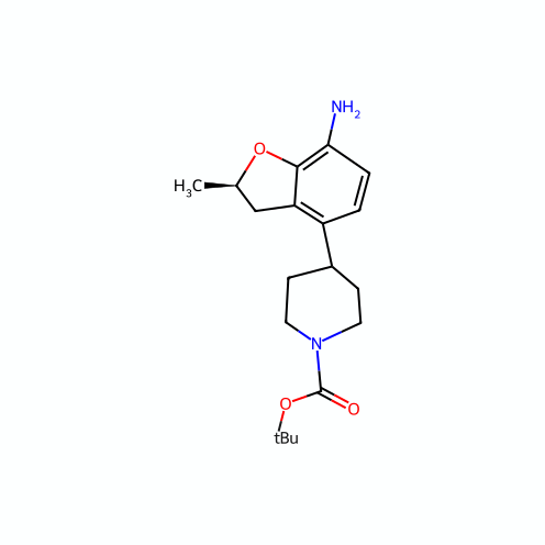 C[C@@H]1Cc2c(C3CCN(C(=O)OC(C)(C)C)CC3)ccc(N)c2O1